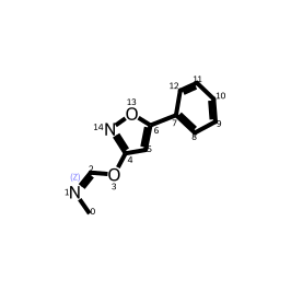 C/N=C\Oc1cc(-c2ccccc2)on1